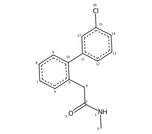 CNC(=O)Cc1ccccc1-c1cccc(Cl)c1